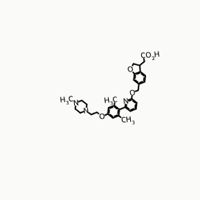 Cc1cc(OCCN2CCN(C)CC2)cc(C)c1-c1cccc(OCc2ccc3c(c2)OCC3CC(=O)O)n1